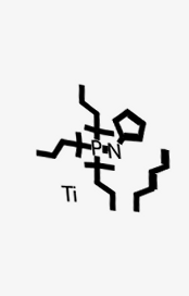 C=CC=CCC.CCCC(C)(C)P(=NC1=CC=CC1)(C(C)(C)CCC)C(C)(C)CCC.[Ti]